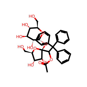 CC(=O)OC(C(c1ccccc1)(c1ccccc1)c1ccccc1)[C@@]1(O[C@H]2O[C@H](CO)[C@@H](O)[C@H](O)[C@H]2O)O[C@H](CO)[C@@H](O)[C@@H]1O